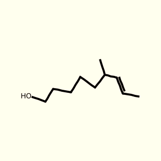 CC=CC(C)CCCCCO